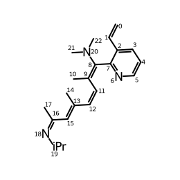 C=Cc1cccnc1\C(=C(C)/C=C\C(C)=C\C(C)=N/C(C)C)N(C)C